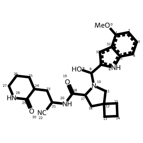 COc1cccc2[nH]c(C(O)N3CC4(CCC4)CC3C(=O)NC(C#N)CC3CCCNC3=O)cc12